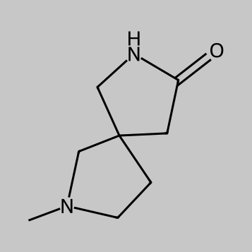 CN1CCC2(CNC(=O)C2)C1